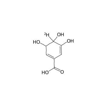 [2H]C1(O)C(O)=CC(C(=O)O)=CC1O